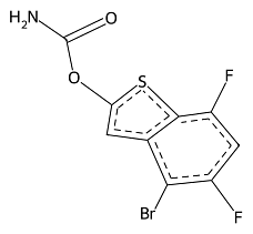 NC(=O)Oc1cc2c(Br)c(F)cc(F)c2s1